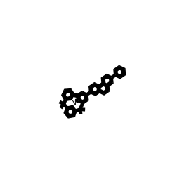 CC1(C)c2cccc3c2-n2c4c1cccc4c1cc(-c4ccc5c(ccc6cc(-c7ccccc7)ccc65)c4)cc(c12)C3(C)C